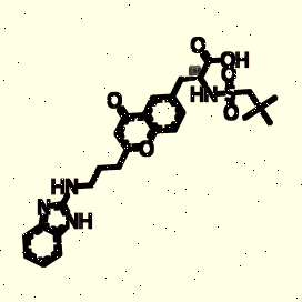 CC(C)(C)CS(=O)(=O)N[C@@H](Cc1ccc2oc(CCCNc3nc4ccccc4[nH]3)cc(=O)c2c1)C(=O)O